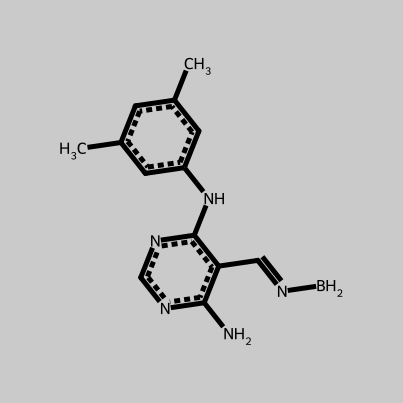 B/N=C/c1c(N)ncnc1Nc1cc(C)cc(C)c1